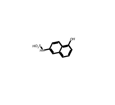 O=S(=O)(O)Nc1ccc2c(O)cccc2c1